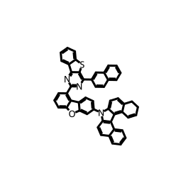 C1=Cc2c(ccc3c2c2c4ccccc4ccc2n3-c2ccc3c(c2)oc2cccc(-c4nc(-c5ccc6ccccc6c5)c5sc6ccccc6c5n4)c23)CC1